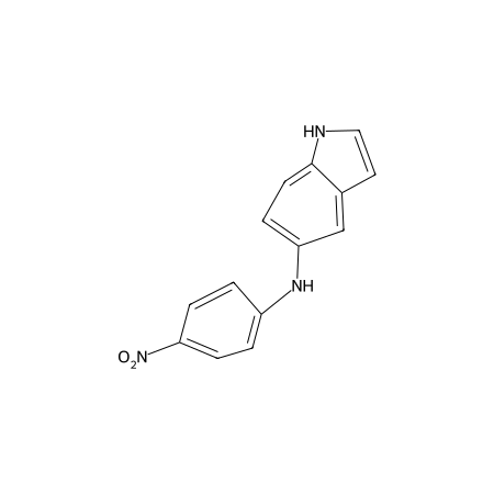 O=[N+]([O-])c1ccc(Nc2ccc3[nH]ccc3c2)cc1